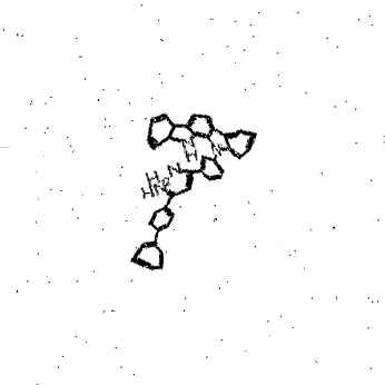 N=C(/C=C(\N)c1cccc(-n2c3ccccc3c3ccc4c(c32)NC2C=CC=CC42)c1)c1ccc(-c2ccccc2)cc1